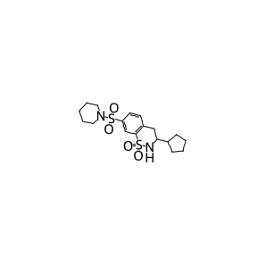 O=S1(=O)NC(C2CCCC2)Cc2ccc(S(=O)(=O)N3CCCCC3)cc21